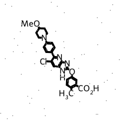 COC1CCN(c2ccc(-c3nc4nc(Oc5ccc(C)c(C(=O)O)c5)[nH]c4cc3Cl)cc2)CC1